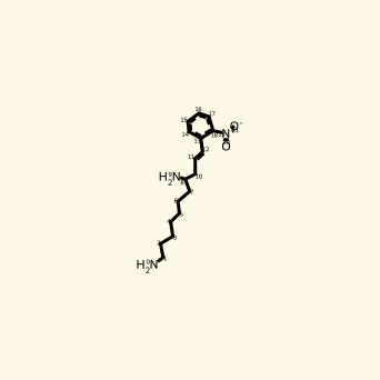 NCCCCCCCC(N)CC=Cc1ccccc1[N+](=O)[O-]